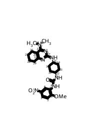 COc1ccc([N+](=O)[O-])cc1NC(=O)N[C@H]1CC[C@@H](Nc2nc3c(c(N(C)C)n2)CCCC3)CC1